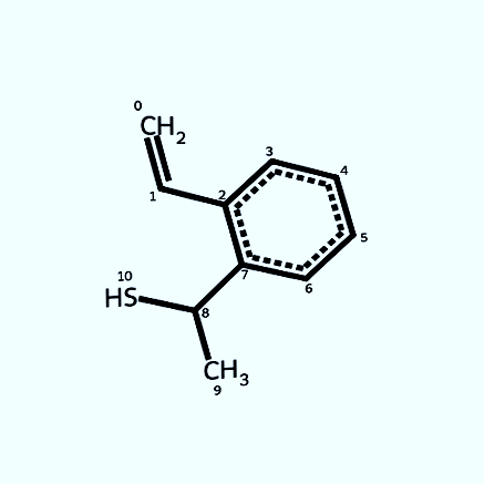 C=Cc1ccccc1C(C)S